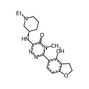 CCN1CCC[C@@H](Nc2nnc(-c3ccc4c(c3O)CCO4)n(C)c2=O)C1